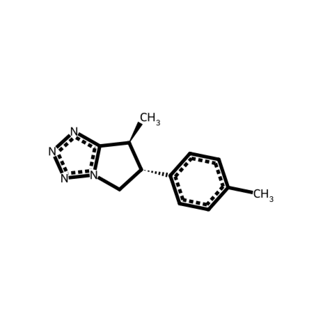 Cc1ccc([C@@H]2Cn3nnnc3[C@H]2C)cc1